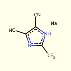 N#Cc1nc(C(F)(F)F)[nH]c1C#N.[Na]